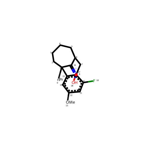 CCCC12CCCCC(Cc3c(F)cc(OC)cc31)/C2=N/O